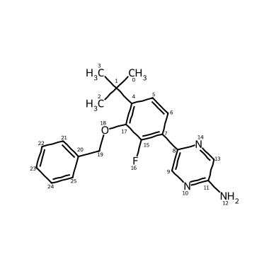 CC(C)(C)c1ccc(-c2cnc(N)cn2)c(F)c1OCc1ccccc1